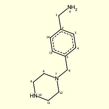 NCc1ccc(CN2CCNCC2)cc1